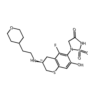 O=C1CN(c2c(O)cc3c(c2F)C[C@H](NCCC2CCOCC2)CS3)S(=O)(=O)N1